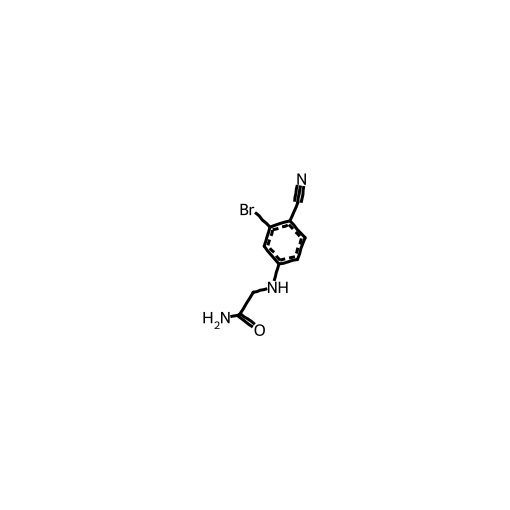 N#Cc1ccc(NCC(N)=O)cc1Br